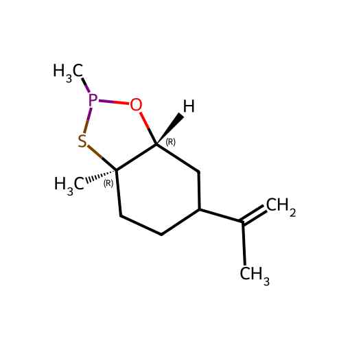 C=C(C)C1CC[C@@]2(C)SP(C)O[C@@H]2C1